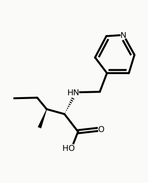 CC[C@H](C)[C@H](NCc1ccncc1)C(=O)O